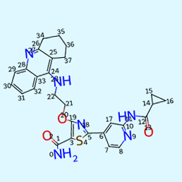 NC(=O)c1sc(-c2ccnc(NC(=O)C3CC3)c2)nc1OCCNc1c2c(nc3ccccc13)CCCC2